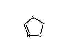 [CH]1SC=NS1